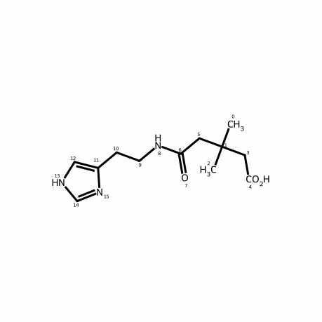 CC(C)(CC(=O)O)CC(=O)NCCc1c[nH]cn1